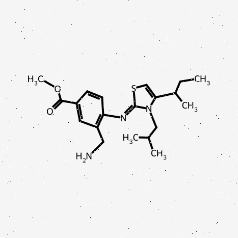 CCC(C)c1csc(=Nc2ccc(C(=O)OC)cc2CN)n1CC(C)C